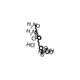 Cl.Cn1c(=O)n(C2CCC(=O)NC2=O)c2ccc(CCCc3cccc(OC[C@@H](N)CCC(N)=O)c3Cl)cc21